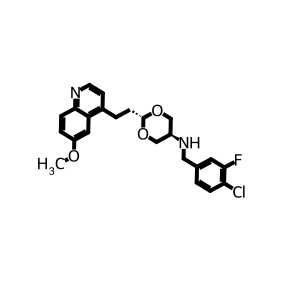 COc1ccc2nccc(CC[C@H]3OC[C@H](NCc4ccc(Cl)c(F)c4)CO3)c2c1